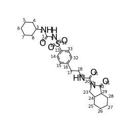 O=C(NC1CCCCC1)NS(=O)(=O)c1ccc(CCNC(=O)N2CC3CCCCC3C2=O)cc1